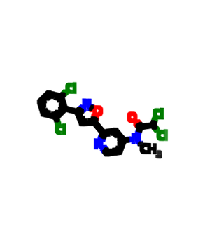 CN(C(=O)C(Cl)Cl)c1ccnc(-c2cc(-c3c(Cl)cccc3Cl)no2)c1